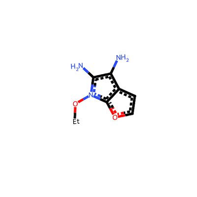 CCOn1c(N)c(N)c2ccoc21